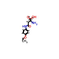 CCOc1ccc(NC(=O)C[C@H](N)C(=O)O)cc1